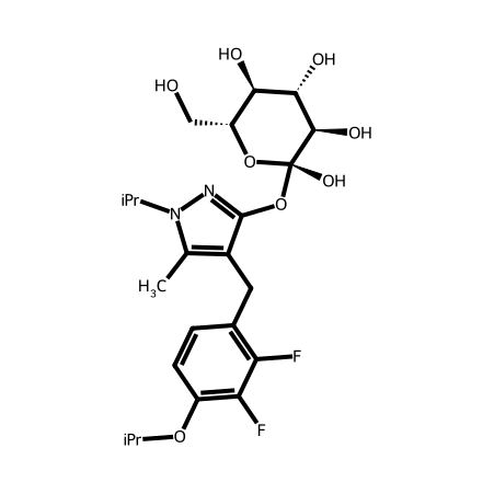 Cc1c(Cc2ccc(OC(C)C)c(F)c2F)c(O[C@]2(O)O[C@H](CO)[C@@H](O)[C@H](O)[C@H]2O)nn1C(C)C